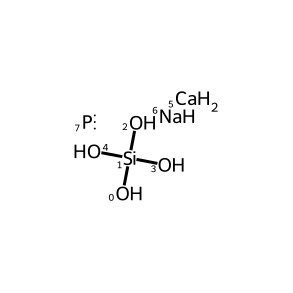 O[Si](O)(O)O.[CaH2].[NaH].[P]